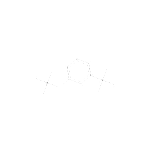 CC(C)(C)Oc1c[c]cc(C(C)(C)C)c1